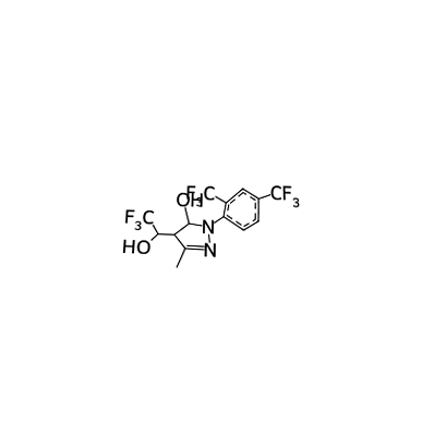 CC1=NN(c2ccc(C(F)(F)F)cc2C(F)(F)F)C(O)C1C(O)C(F)(F)F